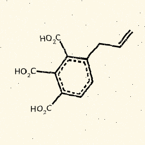 C=CCc1ccc(C(=O)O)c(C(=O)O)c1C(=O)O